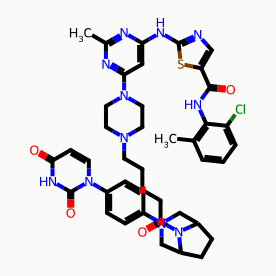 Cc1nc(Nc2ncc(C(=O)Nc3c(C)cccc3Cl)s2)cc(N2CCN(CCCCC(=O)N3C4CCC3CN(c3ccc(-n5ccc(=O)[nH]c5=O)cc3)C4)CC2)n1